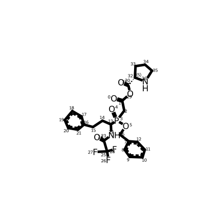 O=C(CP(=O)(OCc1ccccc1)C(CCc1ccccc1)NC(=O)C(F)(F)F)OC(=O)[C@@H]1CCCN1